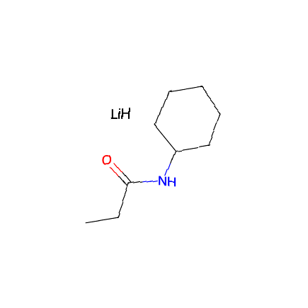 CCC(=O)NC1CCCCC1.[LiH]